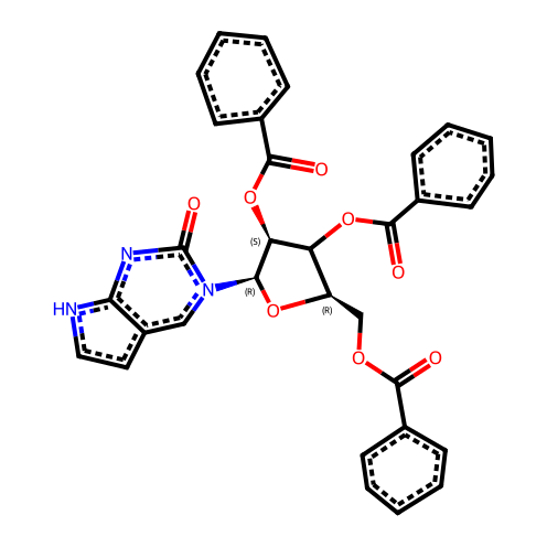 O=C(OC[C@H]1O[C@@H](n2cc3cc[nH]c3nc2=O)[C@@H](OC(=O)c2ccccc2)C1OC(=O)c1ccccc1)c1ccccc1